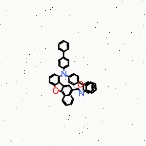 c1ccc(-c2ccc(N(c3ccc(-c4ccccc4)cc3)c3cccc4oc5c6ccccc6c(-c6nc7ccccc7o6)cc5c34)cc2)cc1